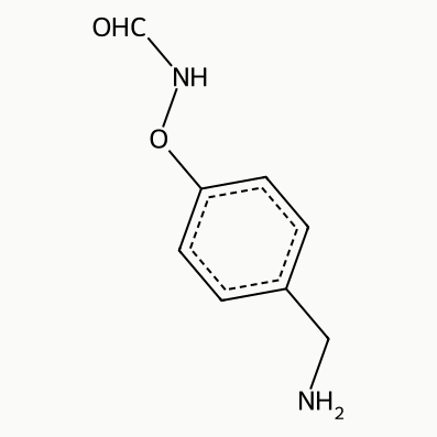 NCc1ccc(ONC=O)cc1